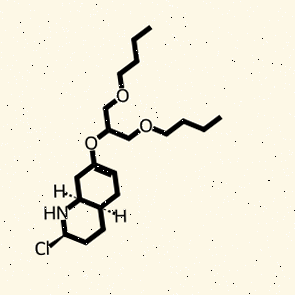 CCCCOCC(COCCCC)OC1=CC[C@H]2CC[C@@H](Cl)N[C@H]2C1